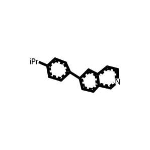 CC(C)c1ccc(-c2ccc3cnccc3c2)cc1